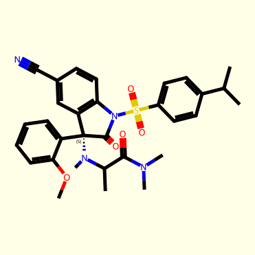 COc1ccccc1[C@]1(N(C)C(C)C(=O)N(C)C)C(=O)N(S(=O)(=O)c2ccc(C(C)C)cc2)c2ccc(C#N)cc21